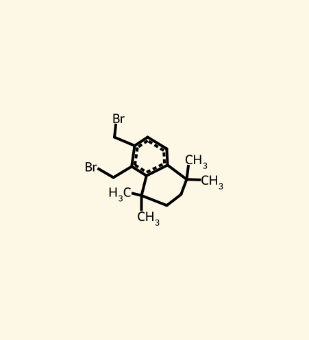 CC1(C)CCC(C)(C)c2c1ccc(CBr)c2CBr